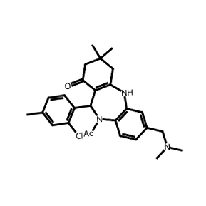 CC(=O)N1c2ccc(CN(C)C)cc2NC2=C(C(=O)CC(C)(C)C2)C1c1ccc(C)cc1Cl